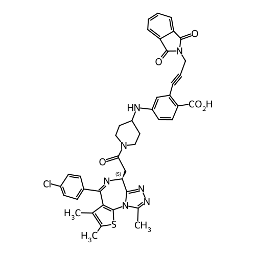 Cc1sc2c(c1C)C(c1ccc(Cl)cc1)=N[C@@H](CC(=O)N1CCC(Nc3ccc(C(=O)O)c(C#CCN4C(=O)c5ccccc5C4=O)c3)CC1)c1nnc(C)n1-2